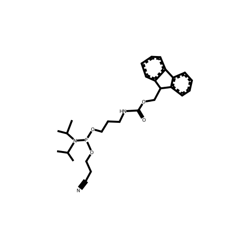 CC(C)N(C(C)C)P(OCCC#N)OCCCNC(=O)OCC1c2ccccc2-c2ccccc21